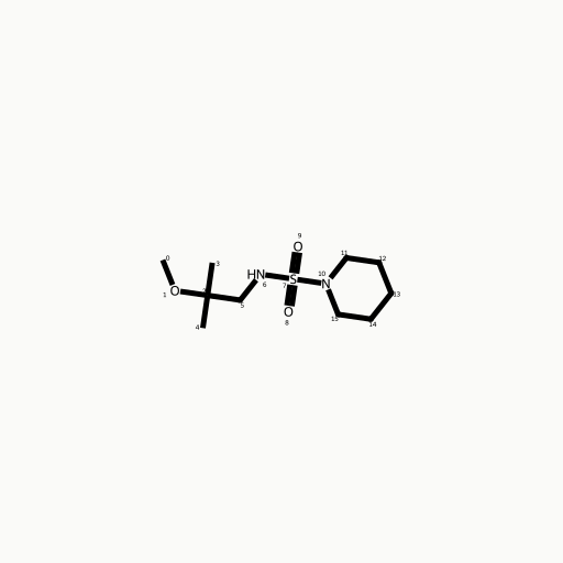 COC(C)(C)CNS(=O)(=O)N1CCCCC1